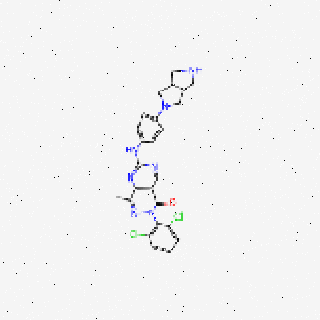 Cc1nn(-c2c(Cl)cccc2Cl)c(=O)c2cnc(Nc3ccc(N4CC5CNCC5C4)cc3)nc12